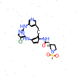 CS(=O)(=O)N1CC[C@@H](CC(=O)Nc2ccc3cc2CCc2cncc(c2)Nc2ncc(Cl)c(n2)N3)C1